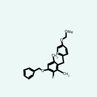 COCOc1ccc(Cc2c(C)cc(OCc3ccccc3)c(F)c2C)nc1